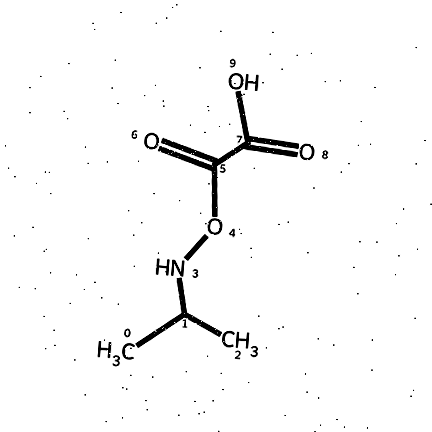 CC(C)NOC(=O)C(=O)O